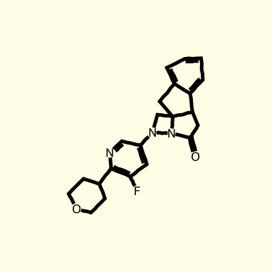 O=C1CC2c3ccccc3CC23CN(c2cnc(C4CCOCC4)c(F)c2)N13